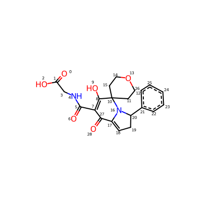 O=C(O)CNC(=O)C1=C(O)C2(CCOCC2)N2C(=CCC2c2ccccc2)C1=O